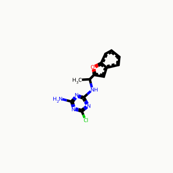 CC(Nc1nc(N)nc(Cl)n1)c1cc2ccccc2o1